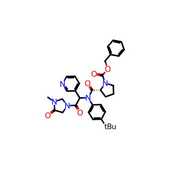 CN1CN(C(=O)C(c2cccnc2)N(C(=O)[C@H]2CCCN2C(=O)OCc2ccccc2)c2ccc(C(C)(C)C)cc2)CC1=O